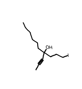 CC#CC(O)(CCCI)CCCCCC